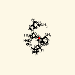 Nc1nc2c(ncn2[C@@H]2O[C@@H]3COP(=O)(O)O[C@H]4[C@H](n5cnc6c(N)ncnc65)O[C@H](COP(=O)(O)O[C@H]3[C@H]2O)[C@@]42CC2(F)F)c(=O)[nH]1